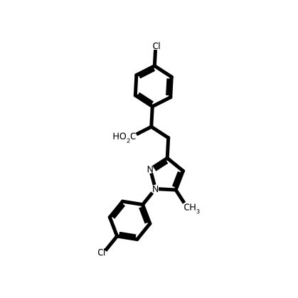 Cc1cc(CC(C(=O)O)c2ccc(Cl)cc2)nn1-c1ccc(Cl)cc1